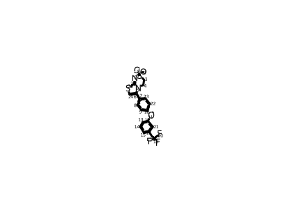 O=S1(=O)CCN2C(c3ccc(Oc4cccc(C(F)(F)F)c4)cc3)=CSC2=N1